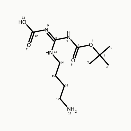 CC(C)(C)OC(=O)N/C(=N/C(=O)O)NCCCCN